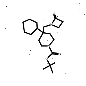 CC(C)(C)OC(=O)N1CCC(CN2CCC2=O)(C2CCCCC2)CC1